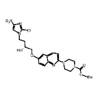 CC(C)(C)OC(=O)N1CCN(c2ccc3cc(OC[C@H](O)CCn4cc([N+](=O)[O-])nc4Cl)ccc3n2)CC1